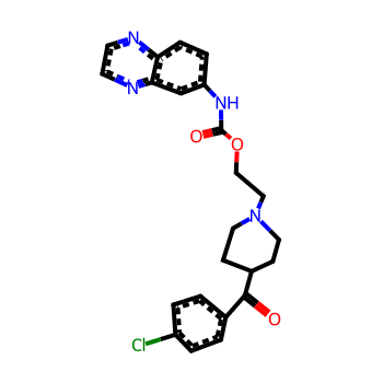 O=C(Nc1ccc2nccnc2c1)OCCN1CCC(C(=O)c2ccc(Cl)cc2)CC1